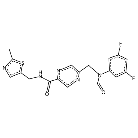 Cc1ncc(CNC(=O)c2cnc(CN(C=O)c3cc(F)cc(F)c3)cn2)s1